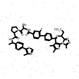 Cc1ncsc1-c1ccc(C(C)NC(=O)C2CCCN2C(=O)C(NC(=O)c2ccc(-c3ccc(C4=NC(CC(=O)O)c5nnc(C)n5-c5sc(C)c(C)c54)cc3)c(F)c2)C(C)(C)C)cc1